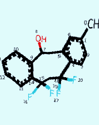 Cc1ccc2c(c1)C(O)c1ccccc1C(F)(F)C2(F)F